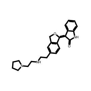 O=C1Nc2ccccc2C1=C1OCc2cc(CCNCCN3CCCC3)ccc21